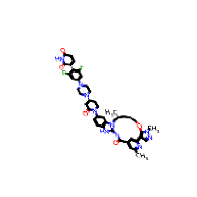 Cc1cc2cc(n1)-c1cnn(C)c1OCCC[C@@H](C)CN1/C(=N/C2=O)Nc2ccc(N3CC[C@@H](N4CCN(c5cc(F)c([C@H]6CCC(=O)NC6=O)c(F)c5)CC4)CC3=O)cc21